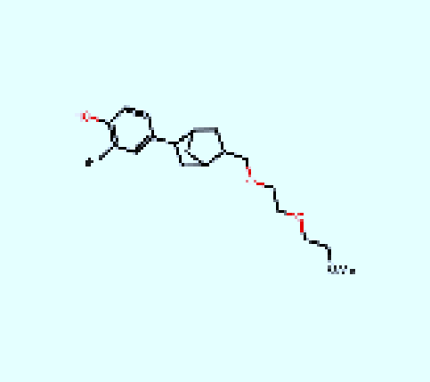 COCCOCCOCC1CC2CC1CC2c1ccc(O)c(C(C)C)c1